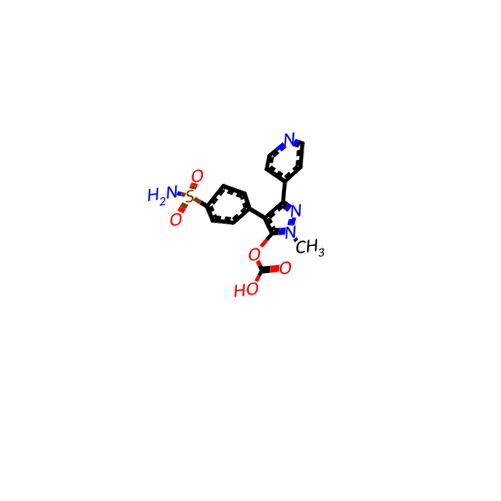 Cn1nc(-c2ccncc2)c(-c2ccc(S(N)(=O)=O)cc2)c1OC(=O)O